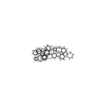 C1=CCC2C(=C1)c1ccccc1C21c2ccccc2Oc2ccc(N(c3ccc4c(c3)C3(c5cc(C6CCCCC6)ccc5Oc5ccc(C6CCCCC6)cc53)c3ccccc3-4)c3ccccc3-n3c4ccccc4c4ccccc43)cc21